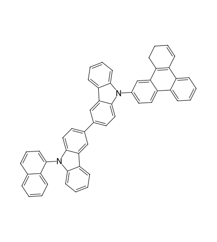 C1=Cc2c(c3cc(-n4c5ccccc5c5cc(-c6ccc7c(c6)c6ccccc6n7-c6cccc7ccccc67)ccc54)ccc3c3ccccc23)CC1